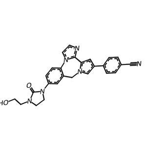 N#Cc1ccc(-c2cc3n(c2)Cc2cc(N4CCN(CCO)C4=O)ccc2-n2ccnc2-3)cc1